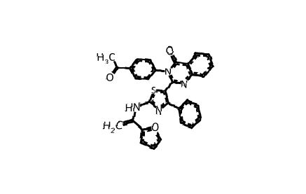 C=C(Nc1nc(-c2ccccc2)c(-c2nc3ccccc3c(=O)n2-c2ccc(C(C)=O)cc2)s1)c1ccco1